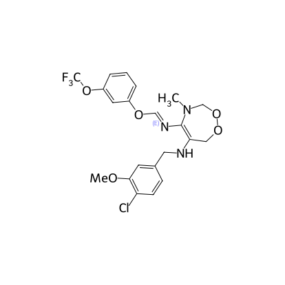 COc1cc(CNC2=C(/N=C/Oc3cccc(OC(F)(F)F)c3)N(C)COOC2)ccc1Cl